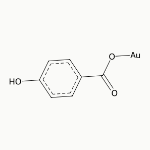 O=C([O][Au])c1ccc(O)cc1